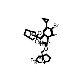 CC(C)(C)OC(=O)N1C2CCC1CN(c1nc(OC[C@@]34CCCN3C[C@H](F)C4)nc3c(F)c(Br)c(C4CC4)cc13)C2